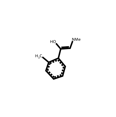 CN/C=C(\O)c1ccccc1C